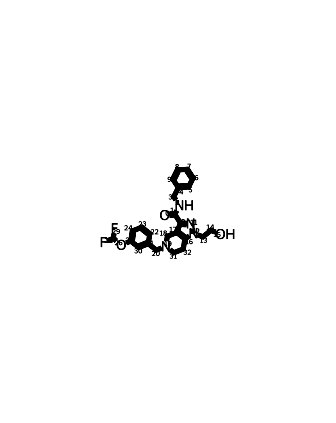 O=C(NCc1ccccc1)c1nn(CCO)c2c1CN(Cc1cccc(OC(F)F)c1)CC2